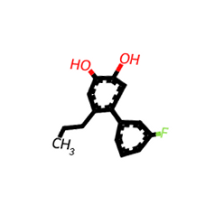 CCCc1cc(O)c(O)cc1-c1cccc(F)c1